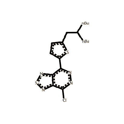 CCCCC(CCCC)Cc1ccc(-c2nnc(Cl)c3nsnc23)s1